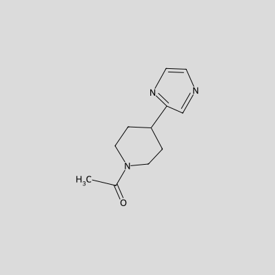 CC(=O)N1CCC(c2cnccn2)CC1